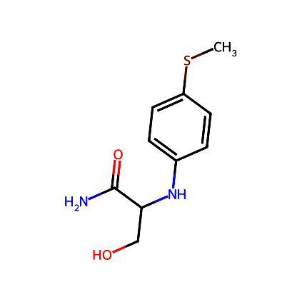 CSc1ccc(NC(CO)C(N)=O)cc1